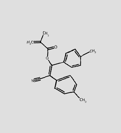 C=C(C)C(=O)O/C(=C(\C#N)c1ccc(C)cc1)c1ccc(C)cc1